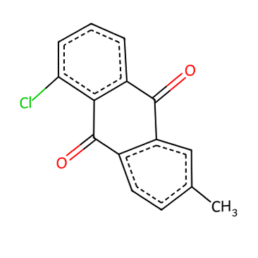 Cc1ccc2c(c1)C(=O)c1cccc(Cl)c1C2=O